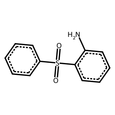 Nc1ccccc1S(=O)(=O)c1ccccc1